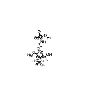 CCOc1c(NCCO[C@@H](OC(CCP(=O)(O)O)[C@H](C)O)[C@H](O)CO)c(=O)c1=O